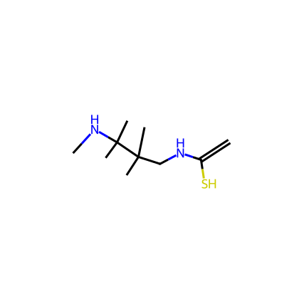 C=C(S)NCC(C)(C)C(C)(C)NC